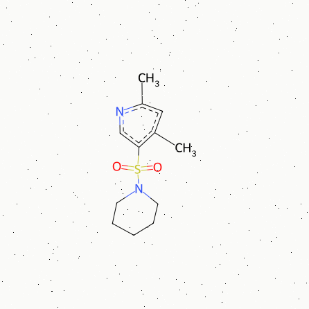 Cc1cc(C)c(S(=O)(=O)N2CCCCC2)cn1